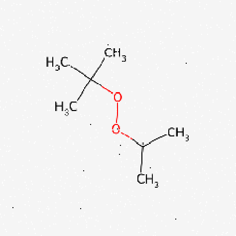 C[C](C)OOC(C)(C)C